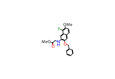 COC(=O)CNc1cc2c(F)c(OC)ccc2cc1OCc1ccccc1